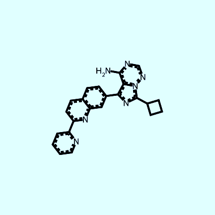 Nc1ncnn2c(C3CCC3)nc(-c3ccc4ccc(-c5ccccn5)nc4c3)c12